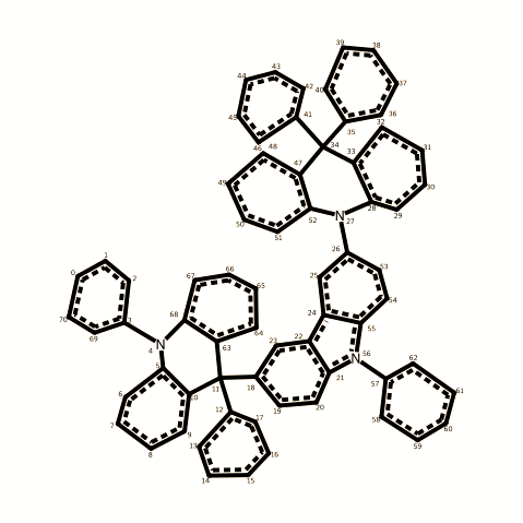 c1ccc(N2c3ccccc3C(c3ccccc3)(c3ccc4c(c3)c3cc(N5c6ccccc6C(c6ccccc6)(c6ccccc6)c6ccccc65)ccc3n4-c3ccccc3)c3ccccc32)cc1